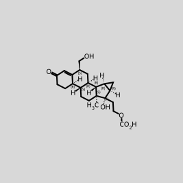 C[C@]12CC[C@H]3[C@@H](C[C@H](CO)C4=CC(=O)CC[C@@H]43)[C@@H]1[C@H]1C[C@H]1[C@@]2(O)CCOC(=O)O